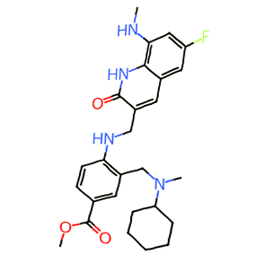 CNc1cc(F)cc2cc(CNc3ccc(C(=O)OC)cc3CN(C)C3CCCCC3)c(=O)[nH]c12